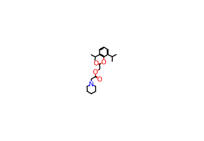 CC(C)c1cccc(C(C)C)c1OC(=O)COC(=O)CN1CCCCC1